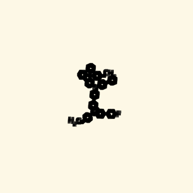 C=Cc1ccc(-n2c3ccc(C4=CCC(F)C=C4)cc3c3cc(-c4ccc(N(c5ccc(-c6ccccc6)cc5)c5ccc6c(c5)C(c5ccccc5)(c5ccc(C=C)cc5)c5ccccc5-6)cc4)ccc32)cc1